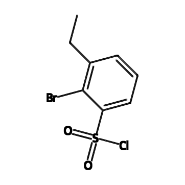 CCc1cccc(S(=O)(=O)Cl)c1Br